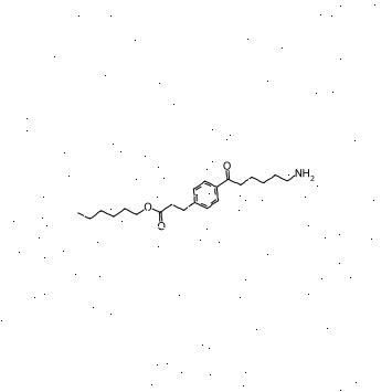 CCCCCCOC(=O)CCc1ccc(C(=O)CCCCCN)cc1